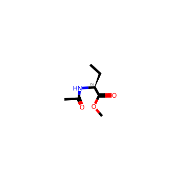 CC[C@H](NC(C)=O)C(=O)OC